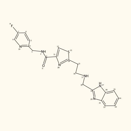 O=C(NCc1ccc(F)cn1)c1csc(CCNCc2nc3ccccc3[nH]2)n1